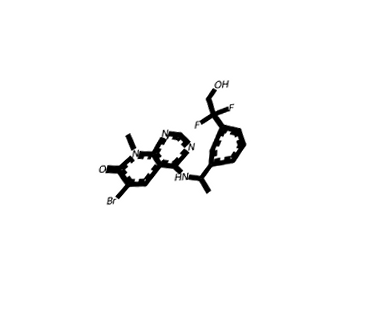 CC(Nc1ncnc2c1cc(Br)c(=O)n2C)c1cccc(C(F)(F)CO)c1